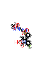 CC(C)(C)OC(=O)NCCNS(=O)(=O)c1cccc(-c2c(C(C)(C)C)n(C(=O)O)c3cc(F)ccc23)c1